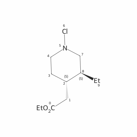 CCOC(=O)C[C@@H]1CCN(Cl)C[C@H]1CC